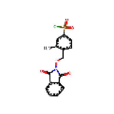 O=C1c2ccccc2C(=O)N1OCc1ccc(S(=O)(=O)Cl)cc1[N+](=O)[O-]